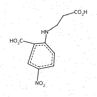 O=C(O)CCNc1ccc([N+](=O)[O-])cc1C(=O)O